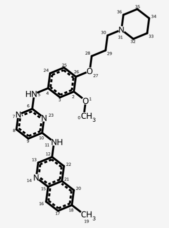 COc1cc(Nc2nccc(Nc3cnc4ccc(C)cc4c3)n2)ccc1OCCCN1CCCCC1